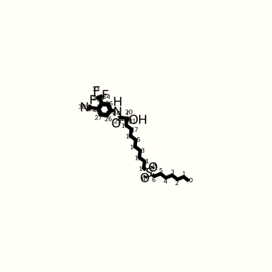 CCCCCCCS(=O)(=O)CCCCCCCCC[C@](C)(O)C(=O)Nc1ccc(C#N)c(C(F)(F)F)c1